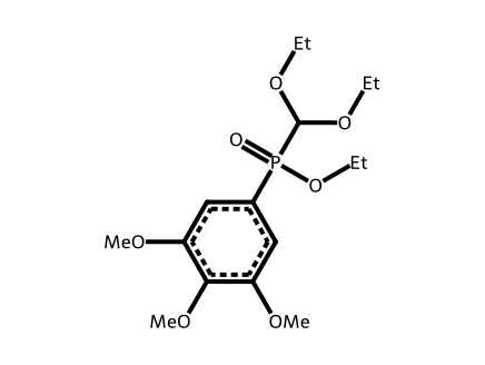 CCOC(OCC)P(=O)(OCC)c1cc(OC)c(OC)c(OC)c1